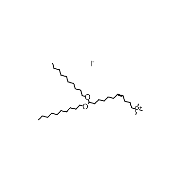 CCCCCCCCCCOC(CCCCC/C=C\CCC[P+](C)(C)C)OCCCCCCCCCC.[I-]